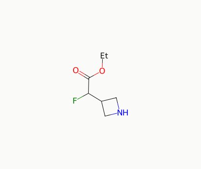 CCOC(=O)C(F)C1CNC1